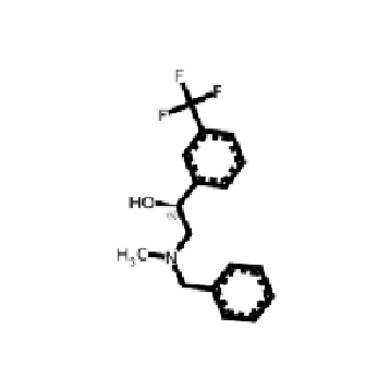 CN(Cc1ccccc1)C[C@@H](O)c1cccc(C(F)(F)F)c1